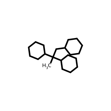 CC(CC1CCCCC1)(C1CCCCC1)C1CCCCC1